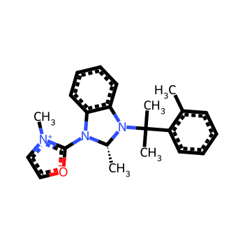 Cc1ccccc1C(C)(C)N1c2ccccc2N(c2occ[n+]2C)[C@H]1C